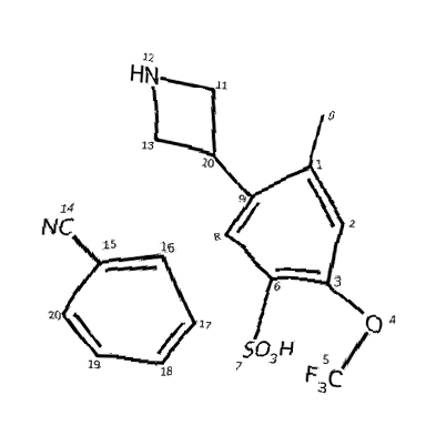 Cc1cc(OC(F)(F)F)c(S(=O)(=O)O)cc1C1CNC1.N#Cc1ccccc1